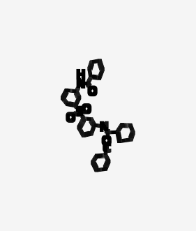 O=C(Nc1cccc(S(=O)(=O)c2cccc(/N=C(\OCc3ccccc3)c3ccccc3)c2)c1)c1ccccc1